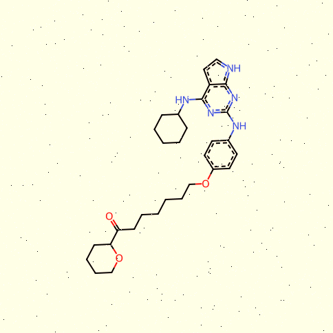 O=C(CCCCCCOc1ccc(Nc2nc(NC3CCCCC3)c3cc[nH]c3n2)cc1)C1CCCCO1